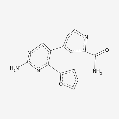 NC(=O)c1cc(-c2cnc(N)nc2-c2ccco2)ccn1